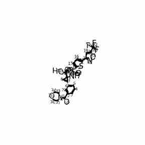 O=C(c1cccc([C@@H]2C[C@]2(NS(=O)(=O)c2ccc(-c3cc(C(F)(F)F)on3)s2)C(=O)O)c1)N1CCOCC1